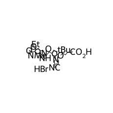 Br.CCOc1cc2c(cc1C(=O)NC)C(=N)N(CC(=O)c1cc(N3CCC(CC#N)C3)c(OCCCCC(=O)O)c(C(C)(C)C)c1)C2